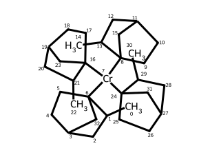 CC1CC2CC[C]1([Cr]([C]13CCC(CC1C)C3)([C]13CCC(CC1C)C3)[C]13CCC(CC1C)C3)C2